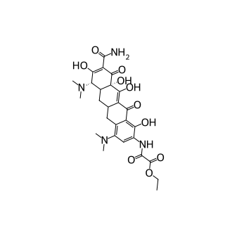 CCOC(=O)C(=O)Nc1cc(N(C)C)c2c(c1O)C(=O)C1=C(O)[C@]3(O)C(=O)C(C(N)=O)=C(O)[C@@H](N(C)C)C3CC1C2